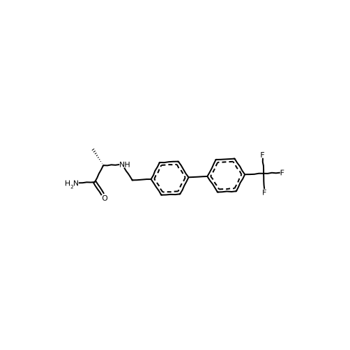 C[C@H](NCc1ccc(-c2ccc(C(F)(F)F)cc2)cc1)C(N)=O